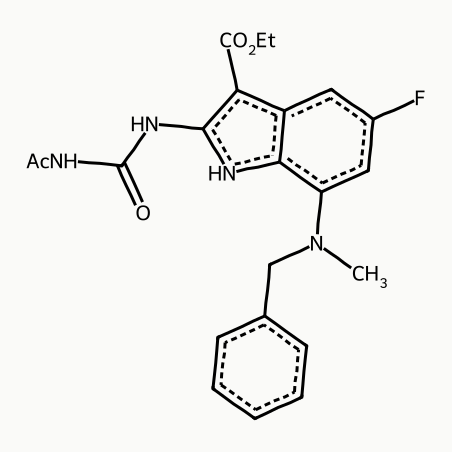 CCOC(=O)c1c(NC(=O)NC(C)=O)[nH]c2c(N(C)Cc3ccccc3)cc(F)cc12